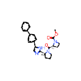 COC(=O)N1CC[C@H]1C(=O)N1CCC[C@H]1c1ncc(-c2ccc(-c3ccccc3)cc2)[nH]1